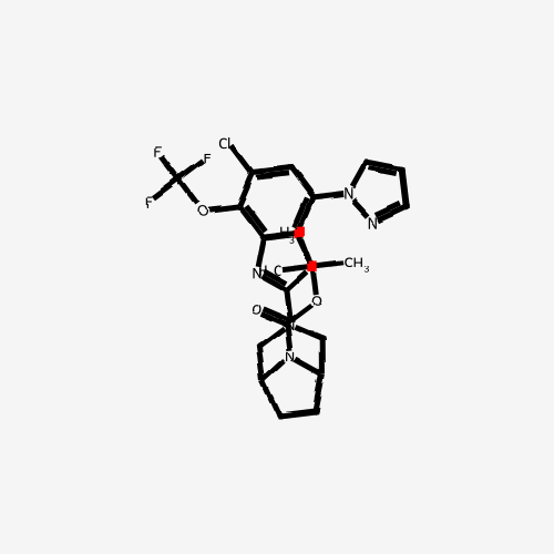 CC(C)(C)OC(=O)N1C2CCC1CN(c1nc3c(OC(F)(F)F)c(Cl)cc(-n4cccn4)c3o1)C2